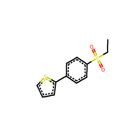 CCS(=O)(=O)c1ccc(-c2cccs2)cc1